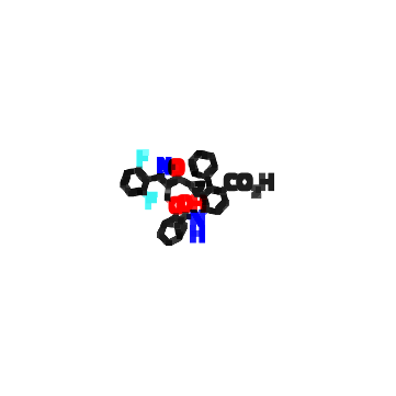 O=C(O)c1ccc(NC(O)C2C3CCC2C(OCc2c(-c4c(F)cccc4F)noc2C2CC2)C3)cc1-c1ccccc1